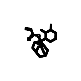 C=CC(=O)OC1(C2CCCC(C)C2C)C2CC3CC(C2)CC1C3